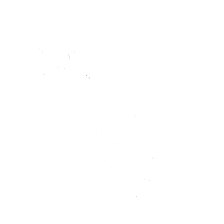 Cc1cc(C(F)(F)F)ncc1C(=O)OC1=CC(=O)C2CCC1C2